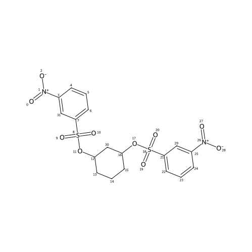 O=[N+]([O-])c1cccc(S(=O)(=O)OC2CCCC(OS(=O)(=O)c3cccc([N+](=O)[O-])c3)C2)c1